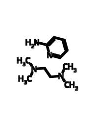 CN(C)CCN(C)C.Nc1ccccn1